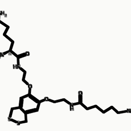 NCCCCCC(=O)NCCOc1cc2c(cc1OCCNC(=O)[C@@H](N)CCCCN)CSSC2